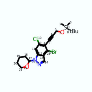 CC(C)(C)[Si](C)(C)OCC#Cc1c(Cl)cc2c(cnn2C2CCCCO2)c1Br